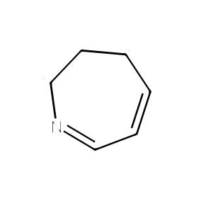 [C]1=CCCCN=C1